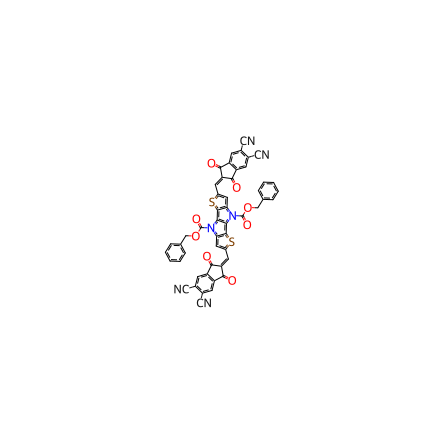 N#Cc1cc2c(cc1C#N)C(=O)C(=Cc1cc3c(s1)c1c(c4sc(C=C5C(=O)c6cc(C#N)c(C#N)cc6C5=O)cc4n1C(=O)OCc1ccccc1)n3C(=O)OCc1ccccc1)C2=O